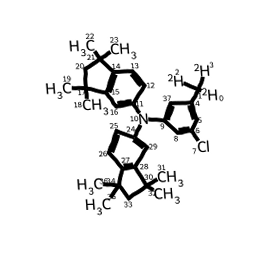 [2H]C([2H])([2H])c1cc(Cl)cc(N(c2ccc3c(c2)C(C)(C)CC3(C)C)c2ccc3c(c2)C(C)(C)CC3(C)C)c1